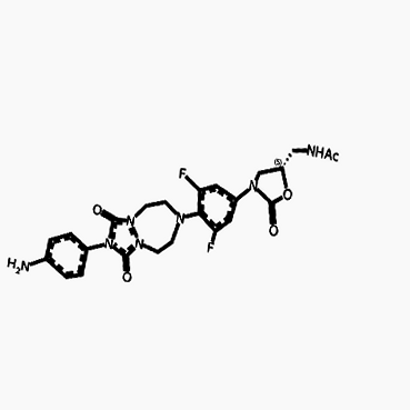 CC(=O)NC[C@H]1CN(c2cc(F)c(N3CCn4c(=O)n(-c5ccc(N)cc5)c(=O)n4CC3)c(F)c2)C(=O)O1